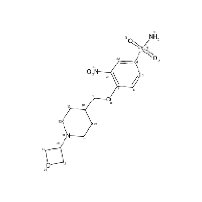 NS(=O)(=O)c1ccc(OCC2CCN(C3COC3)CC2)c([N+](=O)[O-])c1